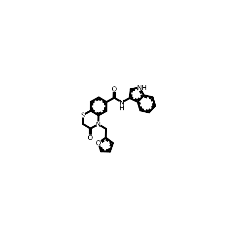 O=C(Nc1c[nH]c2ccccc12)c1ccc2c(c1)N(Cc1ccco1)C(=O)CS2